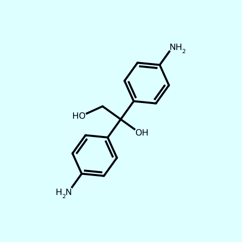 Nc1ccc(C(O)(CO)c2ccc(N)cc2)cc1